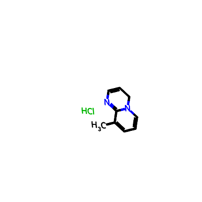 CC1=CC=CN2CC=CN=C12.Cl